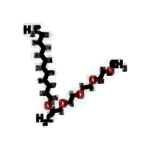 C=C(COCCOCCOCCOC)OCCCCCCCCCCCC